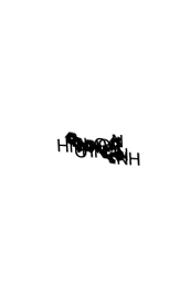 C/C=C(\C=C1\C=NNC1)CC(NC(=O)N1CCC(N2Cc3ccccc3NC2=O)CC1)C(=O)OC1CCN(C)CC1